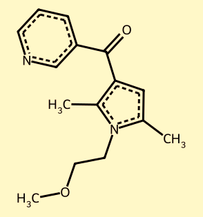 COCCn1c(C)cc(C(=O)c2cccnc2)c1C